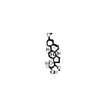 COC1=CC2=CC[C@@H]3[C@H](CC[C@@]4(C)[C@H]3CC[C@@]4(O)C(OC)C(=O)O)[C@@]2(C)CC1